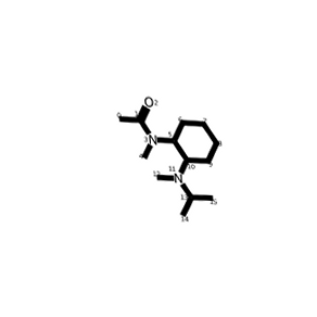 CC(=O)N(C)C1CCCCC1N(C)C(C)C